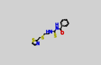 O=C(NC(=S)NCCSCc1nccs1)c1ccccc1